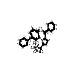 O=C(c1ccc(C(Oc2ccc(-c3ccccc3)cc2)c2ccccc2)s1)P(=O)(O)O